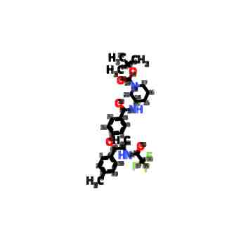 Cc1ccc([C@@H](Oc2ccc(C(=O)N[C@H]3CCCN(C(=O)OC(C)(C)C)C3)cc2)[C@H](C)NC(=O)C(F)(F)F)cc1